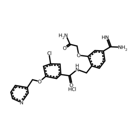 Cl.N=C(N)c1ccc(CNC(=O)c2cc(Cl)cc(OCc3cccnc3)c2)c(OCC(N)=O)c1